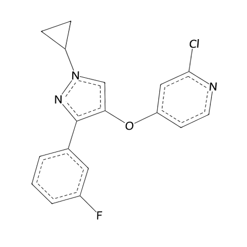 Fc1cccc(-c2nn(C3CC3)cc2Oc2ccnc(Cl)c2)c1